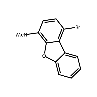 CNc1ccc(Br)c2c1oc1ccccc12